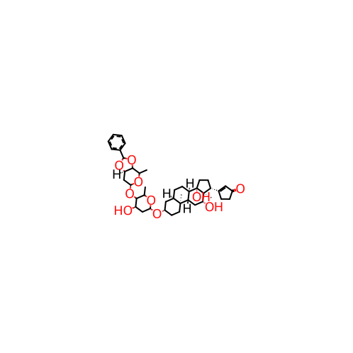 CC1O[C@@H](O[C@H]2CC[C@@]3(C)[C@H](CC[C@@H]4[C@@H]3C[C@@H](O)[C@]3(C)[C@@H](C5=CC(=O)CC5)CC[C@]43O)C2)C[C@@H](O)C1O[C@H]1C[C@H]2OC(c3ccccc3)OC2C(C)O1